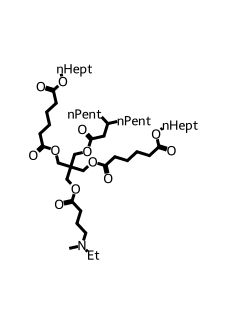 CCCCCCCOC(=O)CCCCC(=O)OCC(COC(=O)CCCCC(=O)OCCCCCCC)(COC(=O)CCCN(C)CC)COC(=O)CC(CCCCC)CCCCC